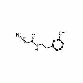 COc1cccc(CCNC(=O)C=[N+]=[N-])c1